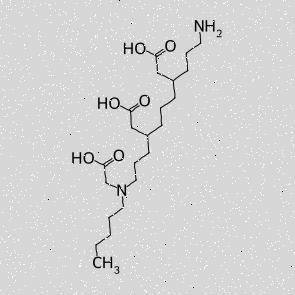 CCCCCN(CCCC(CCCC(CCCN)CC(=O)O)CC(=O)O)CC(=O)O